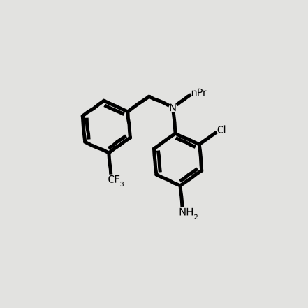 CCCN(Cc1cccc(C(F)(F)F)c1)c1ccc(N)cc1Cl